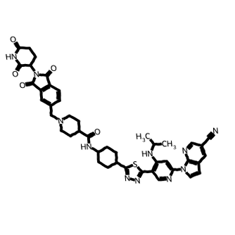 CC(C)Nc1cc(-n2ccc3cc(C#N)cnc32)ncc1-c1nnc(C2CCC(NC(=O)C3CCN(Cc4ccc5c(c4)C(=O)N(C4CCC(=O)NC4=O)C5=O)CC3)CC2)s1